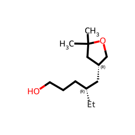 CC[C@H](CCCO)C[C@H]1COC(C)(C)C1